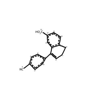 N#Cc1ccc(C2=CCCc3ccc(C(=O)O)cc32)cc1